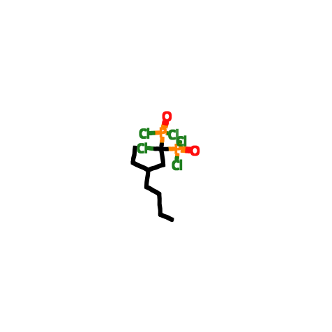 CCCCC(CC)CC(Cl)(P(=O)(Cl)Cl)P(=O)(Cl)Cl